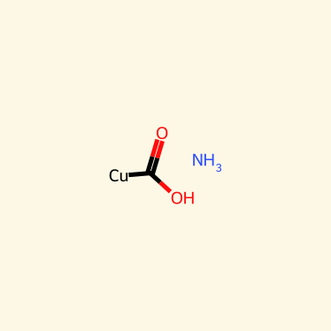 N.O=[C](O)[Cu]